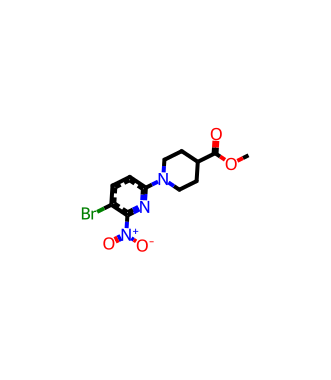 COC(=O)C1CCN(c2ccc(Br)c([N+](=O)[O-])n2)CC1